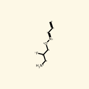 C=CC=NOCC(F)CN